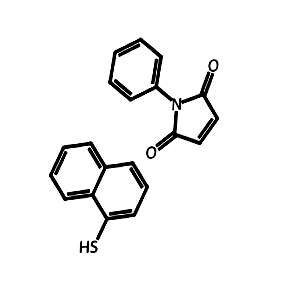 O=C1C=CC(=O)N1c1ccccc1.Sc1cccc2ccccc12